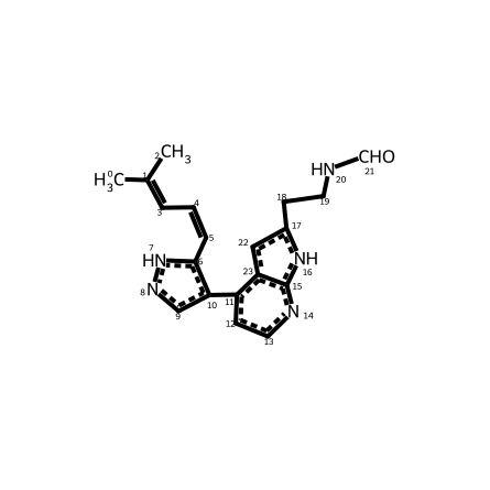 CC(C)=C/C=C\c1[nH]ncc1-c1ccnc2[nH]c(CCNC=O)cc12